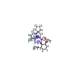 CC(C)c1cccc(C(C)C)c1NC(=O)NCC1(c2ccc(F)cc2)CCCC1